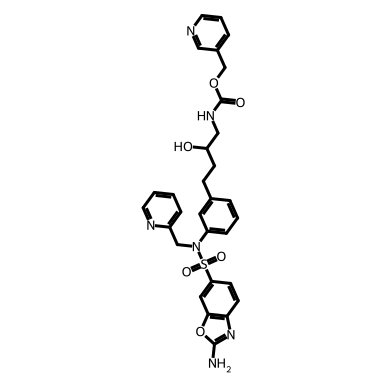 Nc1nc2ccc(S(=O)(=O)N(Cc3ccccn3)c3cccc(CCC(O)CNC(=O)OCc4cccnc4)c3)cc2o1